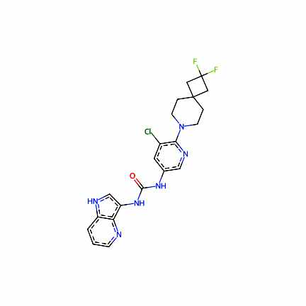 O=C(Nc1cnc(N2CCC3(CC2)CC(F)(F)C3)c(Cl)c1)Nc1c[nH]c2cccnc12